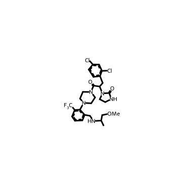 COCC(C)NCc1cccc(C(F)(F)F)c1N1CCN(C(=O)C(Cc2ccc(Cl)cc2Cl)N2CCNC2=O)CC1